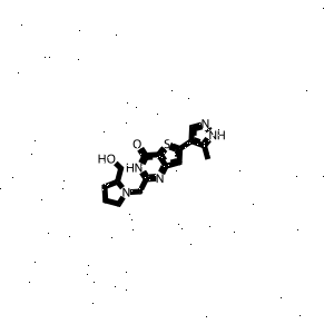 Cc1[nH]ncc1-c1cc2nc(CN3CCCC3CO)[nH]c(=O)c2s1